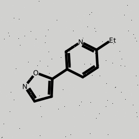 CCc1ccc(-c2ccno2)cn1